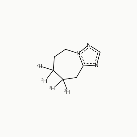 [2H]C1([2H])CCn2ncnc2CC1([2H])[2H]